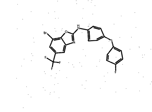 Fc1ccc(Sc2ccc(Nc3nc4cc(C(F)(F)F)cc(Br)c4o3)cc2)cc1